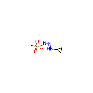 CS(=O)(=O)O/N=N\NC1CC1